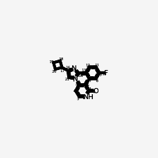 O=c1[nH]ccc2c1c1cc(F)ccc1c1nc(C3CCC3)cn21